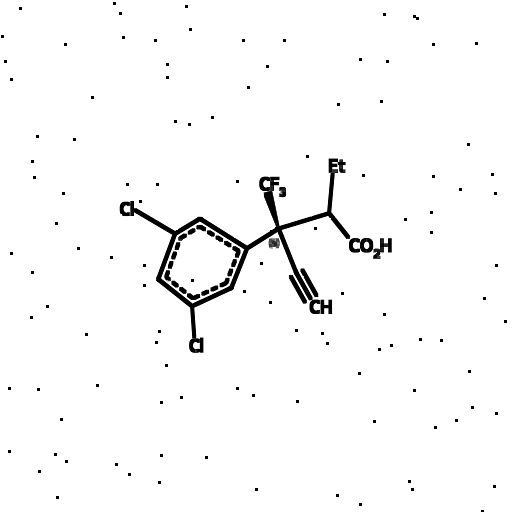 C#C[C@](c1cc(Cl)cc(Cl)c1)(C(CC)C(=O)O)C(F)(F)F